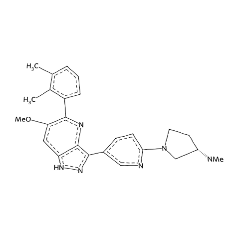 CN[C@H]1CCN(c2ccc(-c3n[nH]c4cc(OC)c(-c5cccc(C)c5C)nc34)cn2)C1